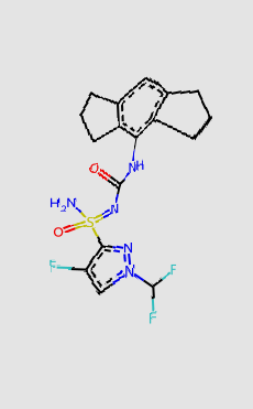 NS(=O)(=NC(=O)Nc1c2c(cc3c1CCC3)CCC2)c1nn(C(F)F)cc1F